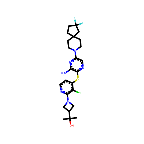 CC(C)(O)C1CN(c2nccc(Sc3ncc(N4CCC5(CC4)CCC(F)(F)C5)nc3N)c2Cl)C1